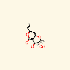 CC=Cc1cc2c(c(=O)o1)C(=O)[C@@H](O)[C@H](C)O2